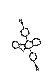 N#Cc1ccc(-c2c3ccccc3c(-c3ccc(C#N)cc3)c3c2nc2ccccn23)cc1